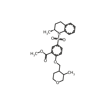 COC(=O)c1cc(S(=O)(=O)N2c3ccccc3CC[C@@H]2C)ccc1OCC1CCOCC1C